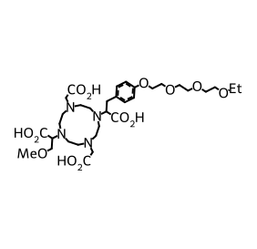 CCOCCOCCOCCOc1ccc(CC(C(=O)O)N2CCN(CC(=O)O)CCN(C(COC)C(=O)O)CCN(CC(=O)O)CC2)cc1